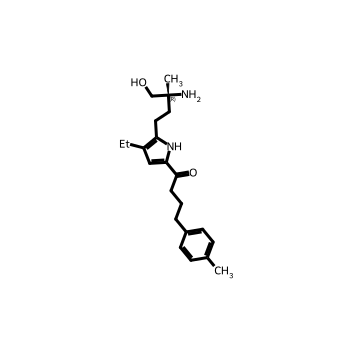 CCc1cc(C(=O)CCCc2ccc(C)cc2)[nH]c1CC[C@@](C)(N)CO